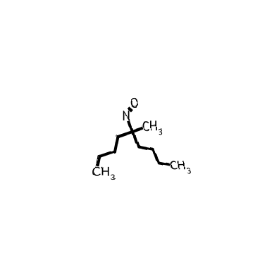 CCCCC(C)(CCCC)N=O